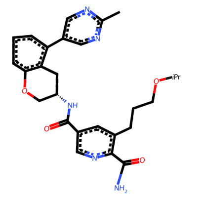 Cc1ncc(-c2cccc3c2C[C@H](NC(=O)c2cnc(C(N)=O)c(CCCOC(C)C)c2)CO3)cn1